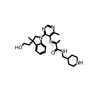 C/C(=N\c1c(C)ncnc1N1CC(C)(CCO)c2ccccc21)C(=O)NCC1CCNCC1